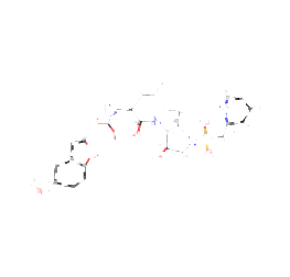 CCCC(NC(=O)Oc1cc2cc(OC)ccc2o1)C(=O)N1CCC2C1C(=O)CN2S(=O)(=O)Cc1ccccn1